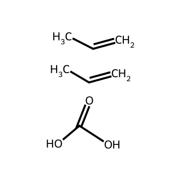 C=CC.C=CC.O=C(O)O